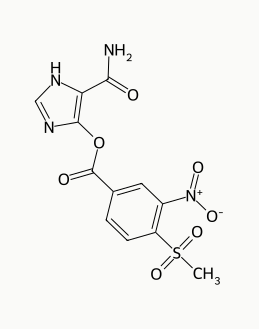 CS(=O)(=O)c1ccc(C(=O)Oc2nc[nH]c2C(N)=O)cc1[N+](=O)[O-]